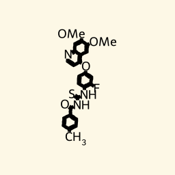 COc1cc2nccc(Oc3ccc(NC(=S)NC(=O)c4ccc(C)cc4)c(F)c3)c2cc1OC